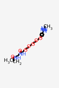 C=C(C)C(=O)NCCCNC(=O)CCOCCOCCOCCOCCOc1ccc(-c2nnc(C)nn2)cc1